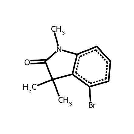 CN1C(=O)C(C)(C)c2c(Br)cccc21